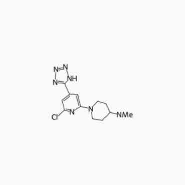 CNC1CCN(c2cc(-c3nnn[nH]3)cc(Cl)n2)CC1